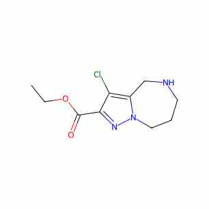 CCOC(=O)c1nn2c(c1Cl)CNCCC2